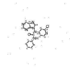 O=C(Nc1ccccc1)N(c1ccnc(Cl)c1)n1cnc2cncnc21